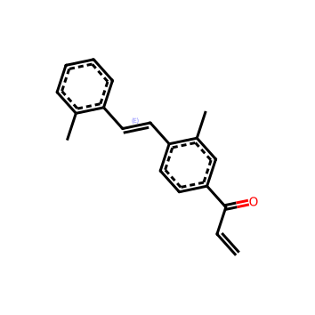 C=CC(=O)c1ccc(/C=C/c2ccccc2C)c(C)c1